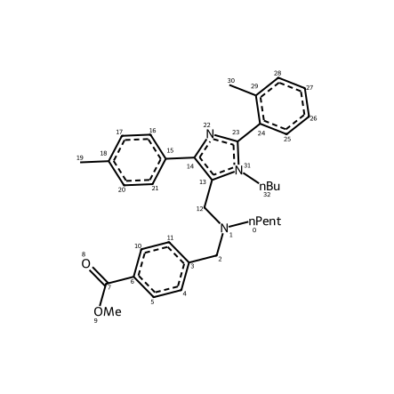 CCCCCN(Cc1ccc(C(=O)OC)cc1)Cc1c(-c2ccc(C)cc2)nc(-c2ccccc2C)n1CCCC